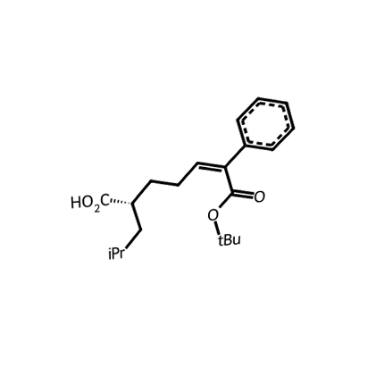 CC(C)C[C@@H](CC/C=C(\C(=O)OC(C)(C)C)c1ccccc1)C(=O)O